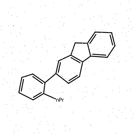 CCCc1ccccc1-c1[c]c2c(cc1)-c1ccccc1C2